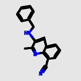 Cc1nc2c(C#N)cccc2cc1NCc1ccccc1